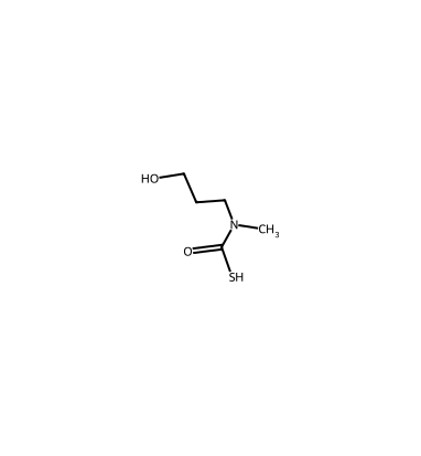 CN(CCCO)C(=O)S